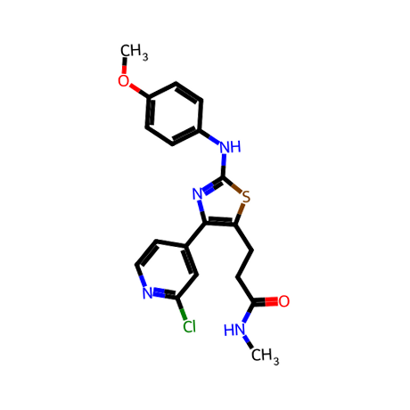 CNC(=O)CCc1sc(Nc2ccc(OC)cc2)nc1-c1ccnc(Cl)c1